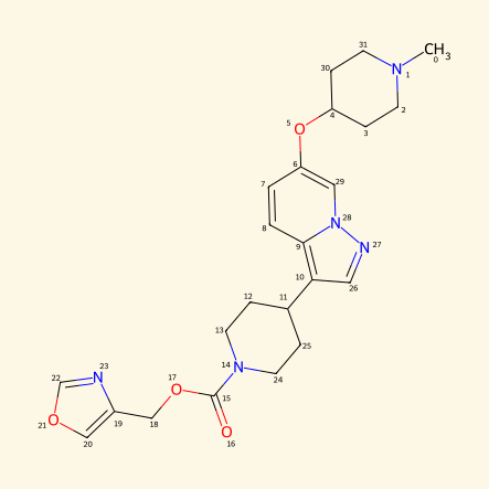 CN1CCC(Oc2ccc3c(C4CCN(C(=O)OCc5cocn5)CC4)cnn3c2)CC1